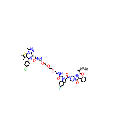 CN[C@@H](C)C(=O)NC(C(=O)N1CCN(C(=O)c2cc3cc(F)ccc3n2CC(=O)NCCOCCOCCOCCNC(=O)C[C@@H]2N=C(c3ccc(Cl)cc3)c3c(sc(C)c3C)-n3c(C)nnc32)CC1)C1CCCCC1